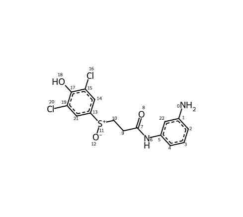 Nc1cccc(NC(=O)CC[S+]([O-])c2cc(Cl)c(O)c(Cl)c2)c1